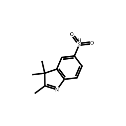 CC1=Nc2ccc([SH](=O)=O)cc2C1(C)C